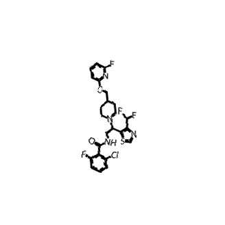 O=C(NCC(c1scnc1C(F)F)N1CCC(COc2cccc(F)n2)CC1)c1c(F)cccc1Cl